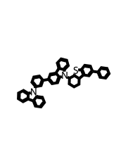 c1ccc(-c2ccc3c(c2)C2CCCC(n4c5ccccc5c5cc(-c6cccc(-n7c8ccccc8c8ccccc87)c6)ccc54)C2S3)cc1